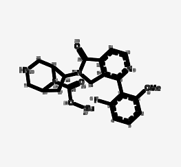 COc1cccc(F)c1-c1nccc2c1CN(C1CC3CNCC1N3C(=O)OC(C)(C)C)C2=O